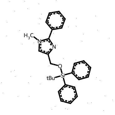 Cn1cc(CO[Si](c2ccccc2)(c2ccccc2)C(C)(C)C)nc1-c1ccccc1